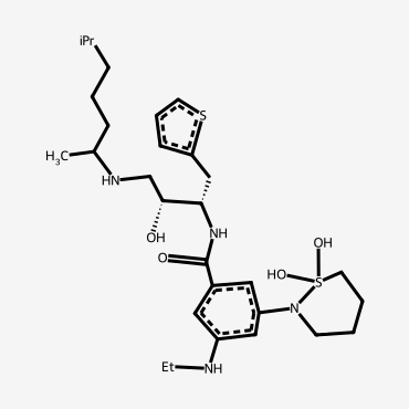 CCNc1cc(C(=O)N[C@@H](Cc2cccs2)[C@H](O)CNC(C)CCCC(C)C)cc(N2CCCCS2(O)O)c1